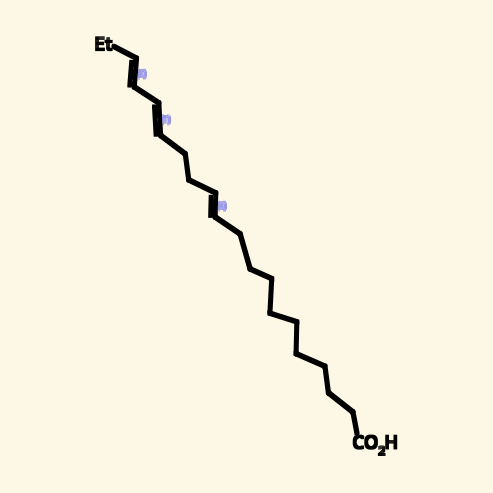 CC/C=C/C=C/CC/C=C/CCCCCCCCCC(=O)O